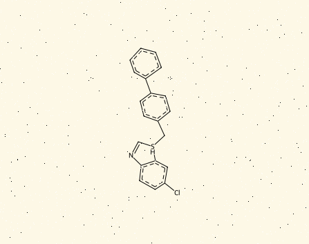 Clc1ccc2c(c1)[SH](Cc1ccc(-c3ccccc3)cc1)C=N2